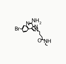 CCNC(=O)CCCn1cc2c(n1)c(N)nc1cc(Br)ccc12